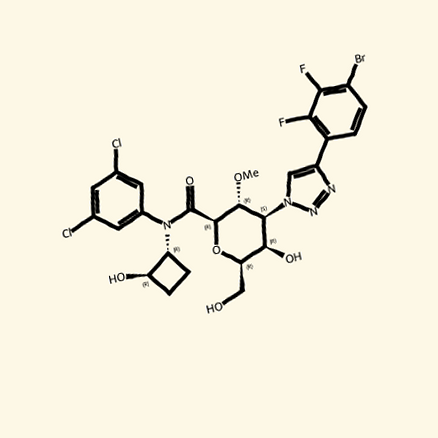 CO[C@@H]1[C@@H](n2cc(-c3ccc(Br)c(F)c3F)nn2)[C@@H](O)[C@@H](CO)O[C@H]1C(=O)N(c1cc(Cl)cc(Cl)c1)[C@@H]1CC[C@H]1O